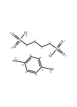 O=S(=O)(Cl)CCCCS(=O)(=O)Cl.Sc1ccc(S)cc1